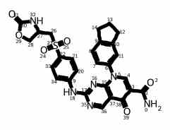 NC(=O)c1cn(-c2ccc3c(c2)CCC3)c2nc(Nc3ccc(S(=O)(=O)CC4COC(=O)N4)cc3)ncc2c1=O